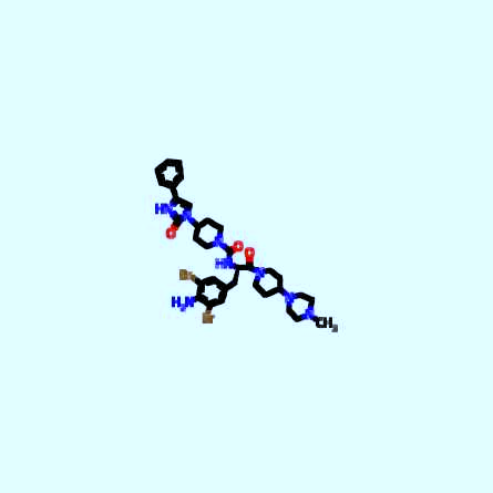 CN1CCN(C2CCN(C(=O)[C@@H](Cc3cc(Br)c(N)c(Br)c3)NC(=O)N3CCC(n4cc(-c5ccccc5)[nH]c4=O)CC3)CC2)CC1